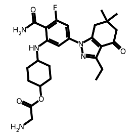 CCc1nn(-c2cc(F)c(C(N)=O)c(NC3CCC(OC(=O)CN)CC3)c2)c2c1C(=O)CC(C)(C)C2